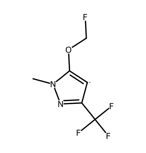 Cn1nc(C(F)(F)F)[c]c1OCF